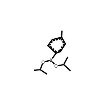 Cc1ccc(B(OC(C)C)OC(C)C)cc1